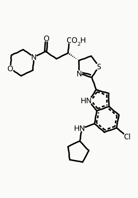 O=C(O)C(CC(=O)N1CCOCC1)[C@@H]1CSC(c2cc3cc(Cl)cc(NC4CCCC4)c3[nH]2)=N1